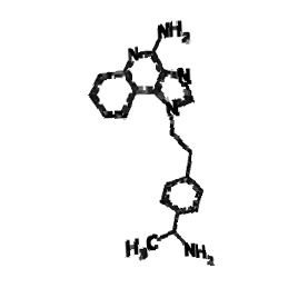 CC(N)c1ccc(CCn2cnc3c(N)nc4ccccc4c32)cc1